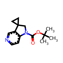 CC(C)(C)OC(=O)N1CC2(CC2)c2cnccc21